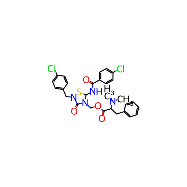 CN(C)C(Cc1ccccc1)C(=O)OCN1C(=O)N(Cc2ccc(Cl)cc2)SC1NC(=O)c1ccc(Cl)cc1